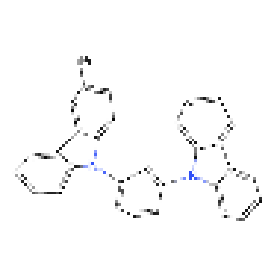 CC(C)c1ccc2c(c1)c1ccccc1n2-c1cccc(-n2c3ccccc3c3ccccc32)c1